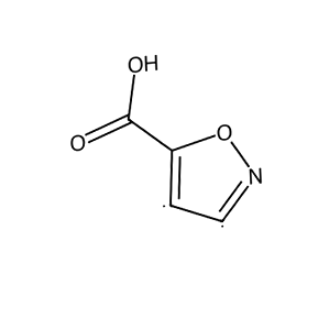 O=C(O)c1[c][c]no1